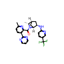 Cc1ccc(-c2ncccn2)c(C(=O)N2[C@H](C)[C@H]3C[C@@H](Nc4ccc(C(F)(F)F)cn4)[C@@H]2C3)n1